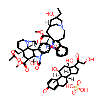 CC[C@]1(O)C[C@H]2C[N@](CCc3c([nH]c4ccccc34)[C@@](C(=O)OC)(c3cc4c(cc3OC)N(C=O)[C@H]3[C@@](O)(C(=O)OC)[C@H](OC(C)=O)[C@]5(CC)C=CCN6CC[C@]43[C@@H]65)C2)C1.C[C@]12C=CC(=O)C=C1CC[C@@H]1[C@@H]2[C@@H](O)C[C@@]2(C)[C@H]1CC[C@]2(O)C(=O)CO.O=S(=O)(O)O